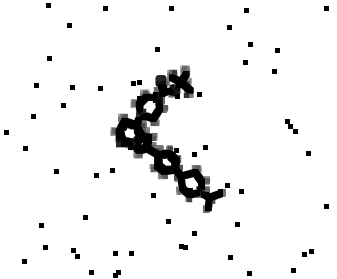 CC(C)N1CCC(c2ccc(-c3cc4c(N5CCN(C(=O)OC(C)(C)C)CC5)ccnn4c3)cc2)CC1